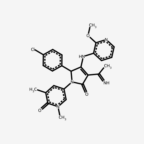 COc1ncccc1NC1=C(C(C)=N)C(=O)N(c2cc(C)c(=O)n(C)c2)C1c1ccc(Cl)cc1